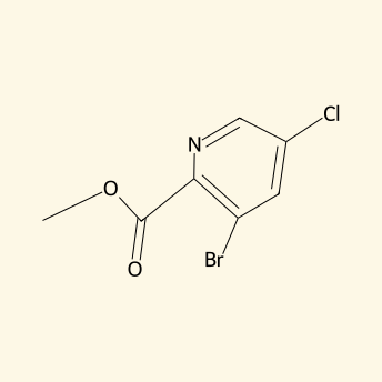 COC(=O)c1ncc(Cl)cc1Br